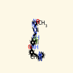 COc1cc(N2CCN(CCNCc3ccc(NC(=O)c4ccc(C)c(C#Cc5cnc6cccnn56)c4)cc3C(F)(F)F)CC2)ncn1